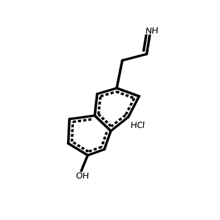 Cl.N=CCc1ccc2cc(O)ccc2c1